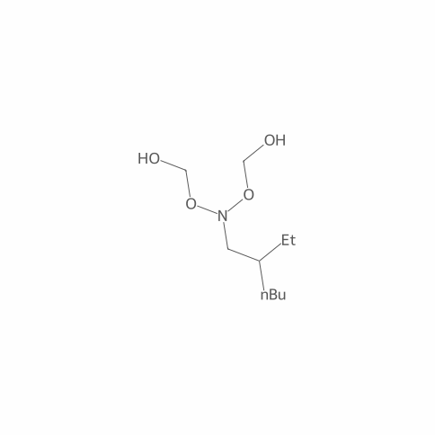 CCCCC(CC)CN(OCO)OCO